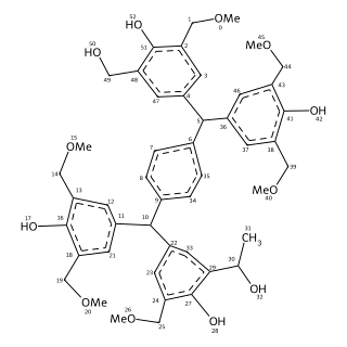 COCc1cc(C(c2ccc(C(c3cc(COC)c(O)c(COC)c3)c3cc(COC)c(O)c(C(C)O)c3)cc2)c2cc(COC)c(O)c(COC)c2)cc(CO)c1O